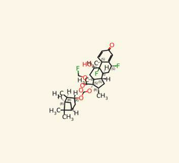 C[C@@H]1[C@H]2C[C@@H](C[C@H]1OC(=O)O[C@@]1(C(=O)OCF)[C@H](C)C[C@H]3[C@@H]4C[C@H](F)C5=CC(=O)C=C[C@]5(C)C4(F)[C@@H](O)C[C@@]31C)C2(C)C